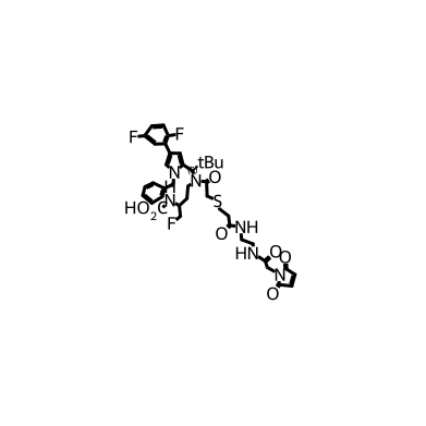 CC(C)(C)[C@H](c1cc(-c2cc(F)ccc2F)cn1Cc1ccccc1)N(CCC(CF)NC(=O)O)C(=O)CSCCC(=O)NCCNC(=O)CN1C(=O)C=CC1=O